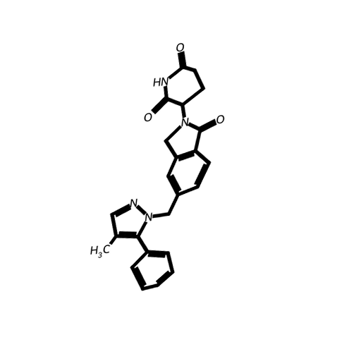 Cc1cnn(Cc2ccc3c(c2)CN(C2CCC(=O)NC2=O)C3=O)c1-c1ccccc1